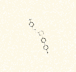 N#Cc1ccc(-c2ccc(N3CCCC(NC(=O)Nc4ccc(C(F)(F)F)cc4)C3=O)cc2)cc1